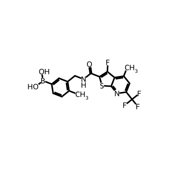 Cc1ccc(B(O)O)cc1CNC(=O)c1sc2nc(C(F)(F)F)cc(C)c2c1F